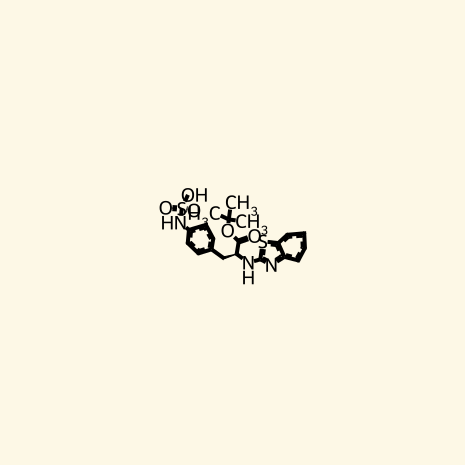 CC(C)(C)OC(=O)[C@H](Cc1ccc(NS(=O)(=O)O)cc1)Nc1nc2ccccc2s1